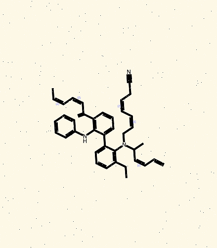 C=C/C=C\C(C)N(C/C=C\C=C/CC#N)c1c(CC)cccc1-c1cccc(C(=C)/C=C\C=C/C)c1Nc1ccccc1